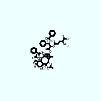 CC(=O)O[C@H]1C(=O)[C@@]2(C)[C@H]([C@H](OC(=O)c3ccccc3)[C@]3(O)C[C@H](OC(=O)[C@H](OC(=O)CCC(N)C(=O)O)[C@@H](NC(=O)c4ccccc4)c4ccccc4)C(C)=C1C3(C)C)[C@]1(OC(C)=O)CO[C@@H]1C[C@@H]2O